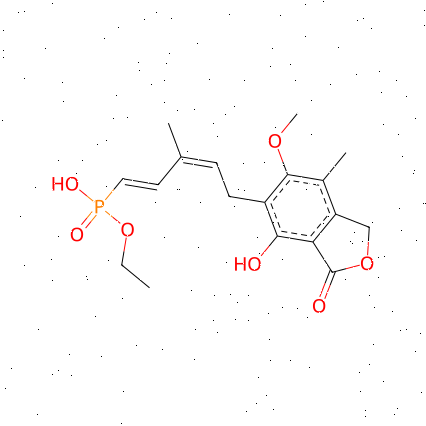 CCOP(=O)(O)C=CC(C)=CCc1c(O)c2c(c(C)c1OC)COC2=O